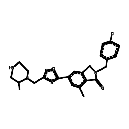 Cc1cc(-c2nc(CN3CCNCC3C)no2)cc2c1C(=O)N(Cc1ccc(Cl)cc1)C2